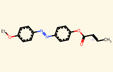 C/C=C/C(=O)Oc1ccc(N=Nc2ccc(OCC)cc2)cc1